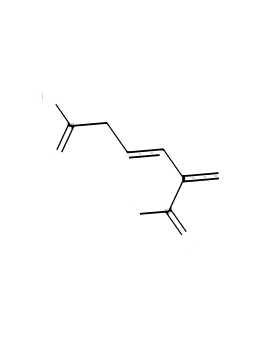 C=C(C=CCC(=O)O)C(=O)O